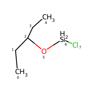 CCC(CC)O[SiH2]Cl